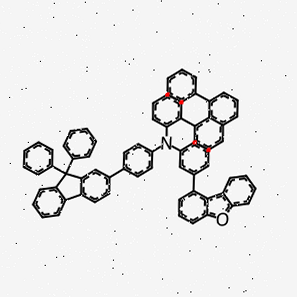 c1ccc(-c2cccc3cccc(-c4ccccc4N(c4ccc(-c5ccc6c(c5)C(c5ccccc5)(c5ccccc5)c5ccccc5-6)cc4)c4cccc(-c5cccc6oc7ccccc7c56)c4)c23)cc1